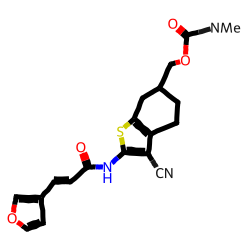 CNC(=O)OCC1CCc2c(sc(NC(=O)C=Cc3ccoc3)c2C#N)C1